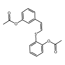 CC(=O)Oc1cccc(/C=C\Sc2ccccc2OC(C)=O)c1